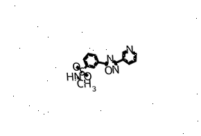 CNS(=O)(=O)c1cccc(-c2nc(-c3cccnc3)no2)c1